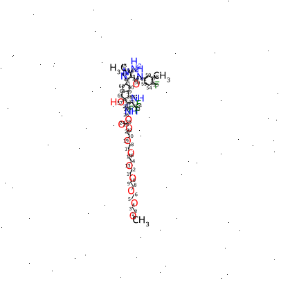 COCCOCCOCCOCCOCCOCCOCCOC(=O)OCN/C=C(\C(=N)C(F)(F)F)C1(O)CC2CC(c3nn(C)c(N)c3C(=O)Nc3ccc(F)c(C)c3)CC2C1